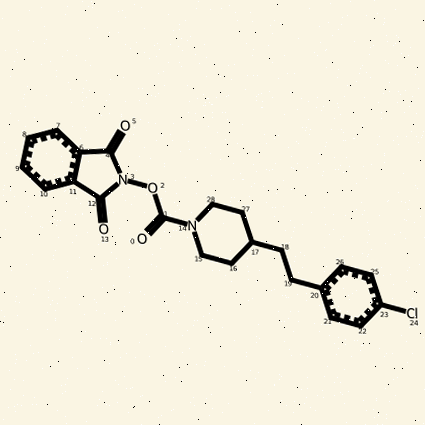 O=C(ON1C(=O)c2ccccc2C1=O)N1CCC(CCc2ccc(Cl)cc2)CC1